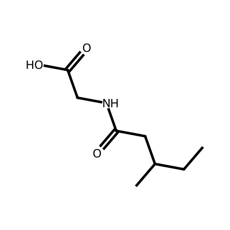 CCC(C)CC(=O)NCC(=O)O